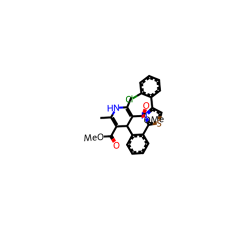 COC(=O)C1=C(C)NC(C)=C(C(=O)OC)C1c1ccccc1-c1nc(-c2ccccc2Cl)cs1